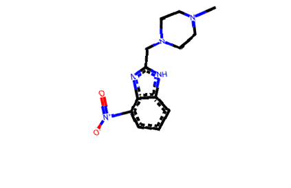 CN1CCN(Cc2nc3c([N+](=O)[O-])cccc3[nH]2)CC1